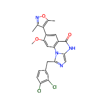 COc1cc2c(cc1-c1c(C)noc1C)c(=O)[nH]c1cnc(Cc3ccc(Cl)c(Cl)c3)n12